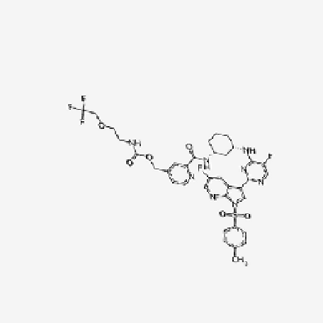 Cc1ccc(S(=O)(=O)n2cc(-c3ncc(F)c(N[C@H]4CCC[C@@H](NC(=O)c5cc(COC(=O)NCCOCC(F)(F)F)ccn5)C4)n3)c3cc(F)cnc32)cc1